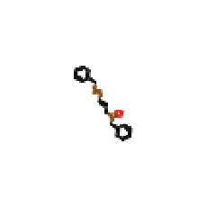 [O-][S+](CC=CSSCc1ccccc1)Cc1ccccc1